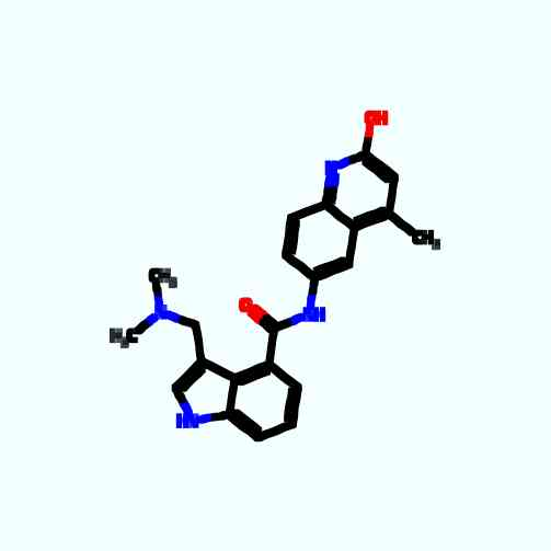 Cc1cc(O)nc2ccc(NC(=O)c3cccc4[nH]cc(CN(C)C)c34)cc12